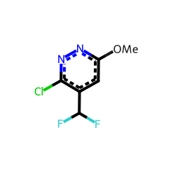 COc1cc(C(F)F)c(Cl)nn1